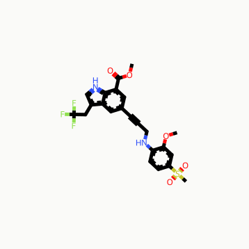 COC(=O)c1cc(C#CCNc2ccc(S(C)(=O)=O)cc2OC)cc2c(CC(F)(F)F)c[nH]c12